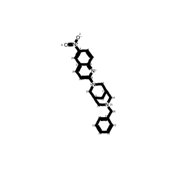 O=[N+]([O-])c1ccc2nc(N3CC4CC(CN(Cc5ccccc5)C4)C3)ccc2c1